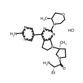 CC[C@H](N)C(=O)N1CC[C@](C)(N2CCc3c(-c4cnc(N)nc4)nc(N4CCOC[C@@H]4C)nc32)C1.Cl